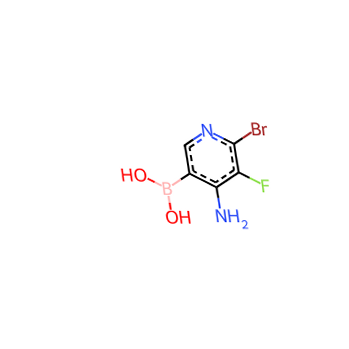 Nc1c(B(O)O)cnc(Br)c1F